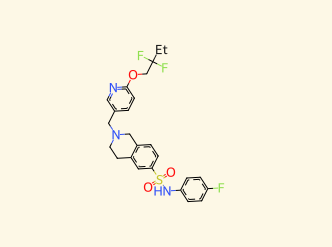 CCC(F)(F)COc1ccc(CN2CCc3cc(S(=O)(=O)Nc4ccc(F)cc4)ccc3C2)cn1